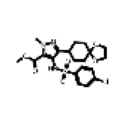 COC(=O)c1c(NS(=O)(=O)c2ccc(Cl)cc2)c(C2CCC3(CC2)OCCO3)nn1C